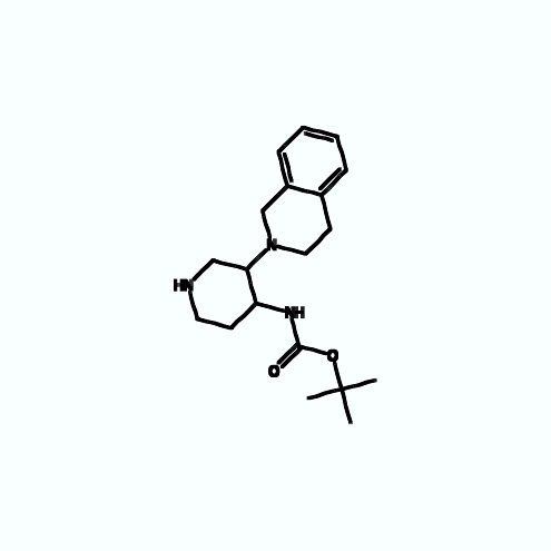 CC(C)(C)OC(=O)NC1CCNCC1N1CCc2ccccc2C1